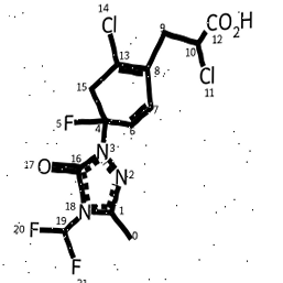 Cc1nn(C2(F)C=CC(CC(Cl)C(=O)O)=C(Cl)C2)c(=O)n1C(F)F